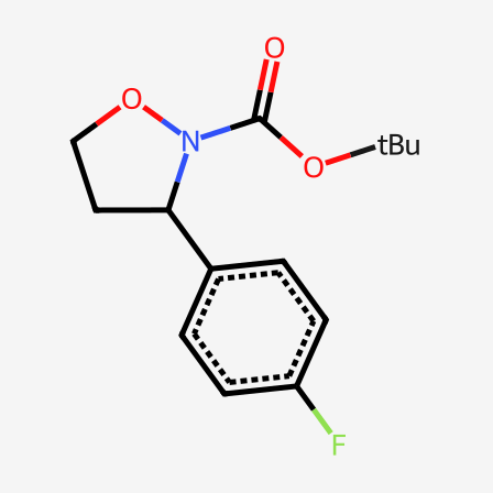 CC(C)(C)OC(=O)N1OCCC1c1ccc(F)cc1